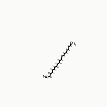 C=CCCCCCCCCCCCCCCCCCCO